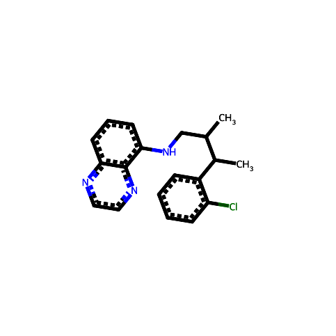 CC(CNc1cccc2nccnc12)C(C)c1ccccc1Cl